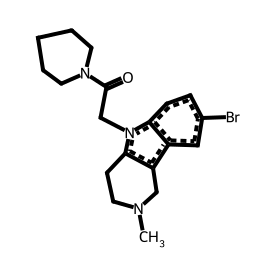 CN1CCc2c(c3cc(Br)ccc3n2CC(=O)N2CCCCC2)C1